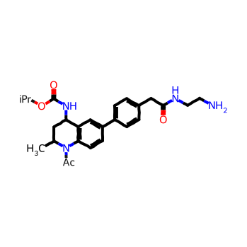 CC(=O)N1c2ccc(-c3ccc(CC(=O)NCCN)cc3)cc2C(NC(=O)OC(C)C)CC1C